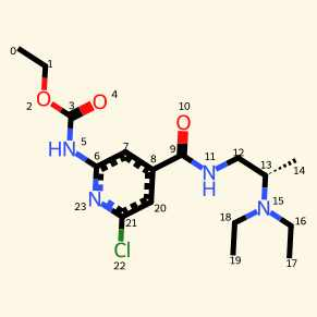 CCOC(=O)Nc1cc(C(=O)NC[C@H](C)N(CC)CC)cc(Cl)n1